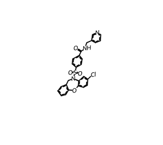 O=C(NCc1cccnc1)c1ccc(S(=O)(=O)N2Cc3ccccc3Oc3ccc(Cl)cc32)cc1